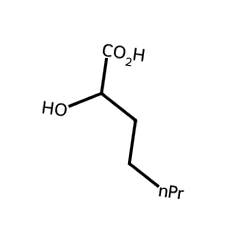 [CH2]CCCCC(O)C(=O)O